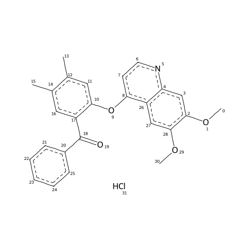 COc1cc2nccc(Oc3cc(C)c(C)cc3C(=O)c3ccccc3)c2cc1OC.Cl